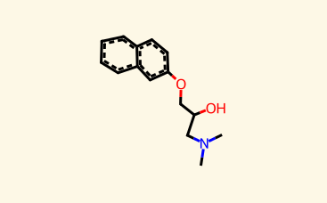 CN(C)CC(O)COc1ccc2ccccc2c1